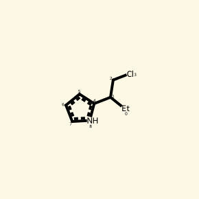 CCC(CCl)c1ccc[nH]1